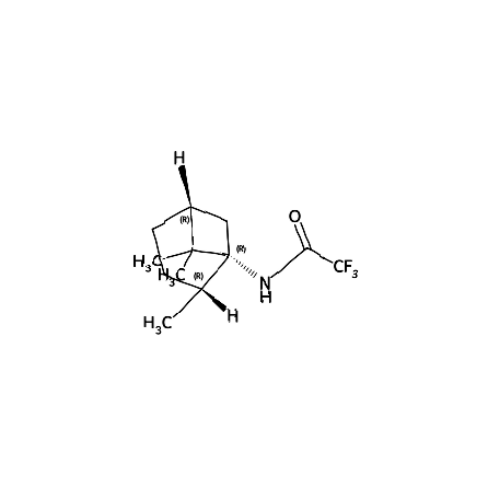 C[C@@H]1CC[C@@H]2C[C@]1(NC(=O)C(F)(F)F)C2(C)C